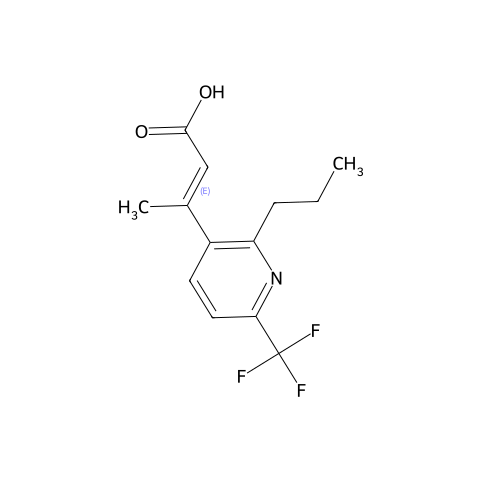 CCCc1nc(C(F)(F)F)ccc1/C(C)=C/C(=O)O